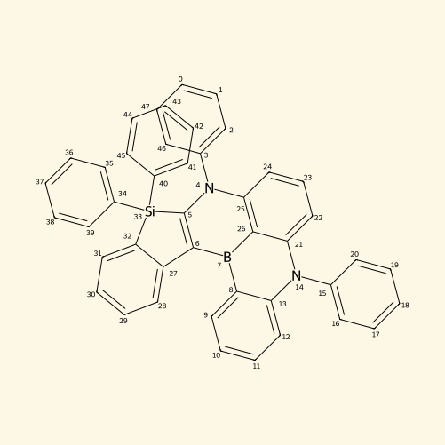 c1ccc(N2C3=C(B4c5ccccc5N(c5ccccc5)c5cccc2c54)c2ccccc2[Si]3(c2ccccc2)c2ccccc2)cc1